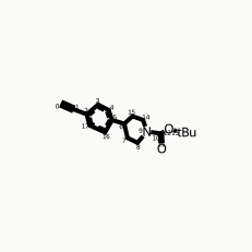 C#Cc1ccc(C2CCN(C(=O)OC(C)(C)C)CC2)cc1